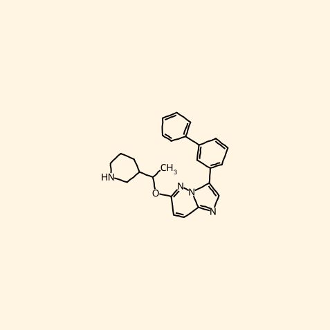 CC(Oc1ccc2ncc(-c3cccc(-c4ccccc4)c3)n2n1)C1CCCNC1